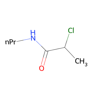 CCCNC(=O)C(C)Cl